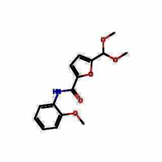 COc1ccccc1NC(=O)c1ccc(C(OC)OC)o1